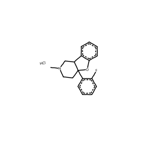 CN1CCC2(c3ccccc3F)Oc3ccccc3C2C1.Cl